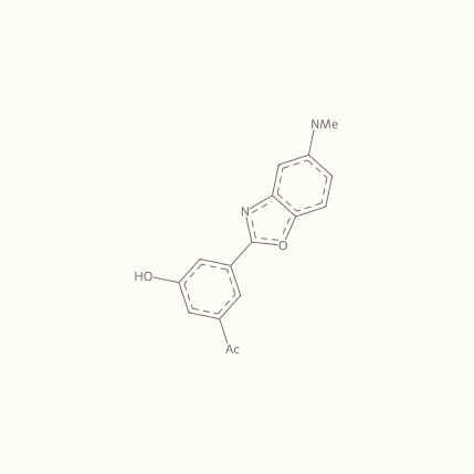 CNc1ccc2oc(-c3cc(O)cc(C(C)=O)c3)nc2c1